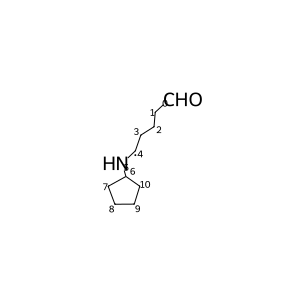 O=CCCC[CH]NC1CCCC1